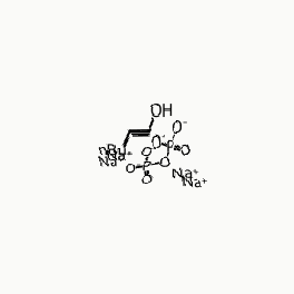 CCCCC=CO.O=P([O-])([O-])OP(=O)([O-])[O-].[Na+].[Na+].[Na+].[Na+]